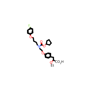 CCOC(Cc1ccc(OCCN(CCCCOc2ccc(F)cc2)C(=O)OC2CCCC2)cc1)C(=O)O